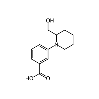 O=C(O)c1cccc(N2CCCCC2CO)c1